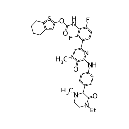 CCN1CCN(C)C(c2ccc(Nc3nc(-c4ccc(F)c(NC(=O)Oc5cc6c(s5)CCCC6)c4F)cn(C)c3=O)cc2)C1=O